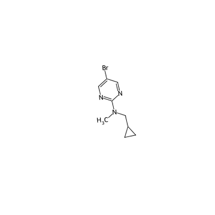 CN(CC1CC1)c1ncc(Br)cn1